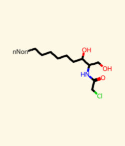 CCCCCCCCCCCCCCCC(O)C(CO)NC(=O)CCl